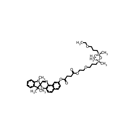 CCOCCC[Si](C)(C)O[Si](C)(C)CCCOCCOC(=O)CCC(=O)Oc1ccc2ccc3c(c2c1)N=CC1(O3)N(C)c2ccccc2C1(C)C